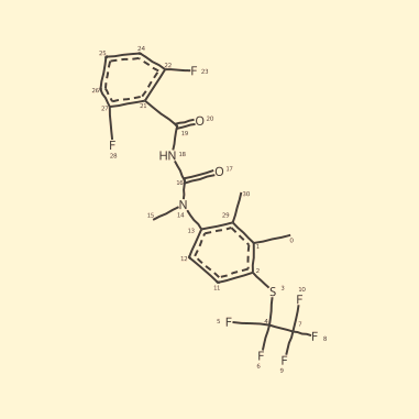 Cc1c(SC(F)(F)C(F)(F)F)ccc(N(C)C(=O)NC(=O)c2c(F)cccc2F)c1C